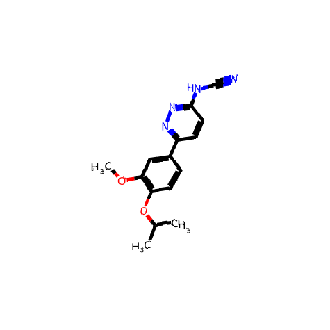 COc1cc(-c2ccc(NC#N)nn2)ccc1OC(C)C